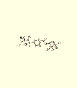 CCC(C)(C)C(=O)Oc1ccc(C(=O)OCC(F)(F)S(=O)(=O)O)cc1